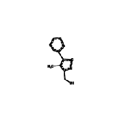 Cc1c(CO)noc1-c1ccccc1